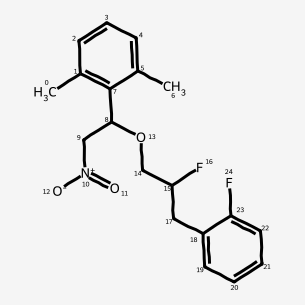 Cc1cccc(C)c1C(C[N+](=O)[O-])OCC(F)Cc1ccccc1F